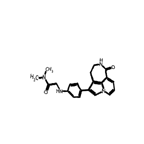 CN(C)C(=O)CNc1ccc(-c2cn3cccc4c3c2CCNC4=O)cc1